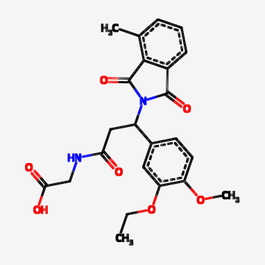 CCOc1cc(C(CC(=O)NCC(=O)O)N2C(=O)c3cccc(C)c3C2=O)ccc1OC